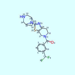 O=C(c1cccc(C(F)F)c1)N1CCc2nc(N3C4CCC3CNC4)sc2C1